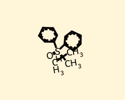 CC(C)(C)[SH](=O)(c1ccccc1)c1ccccc1